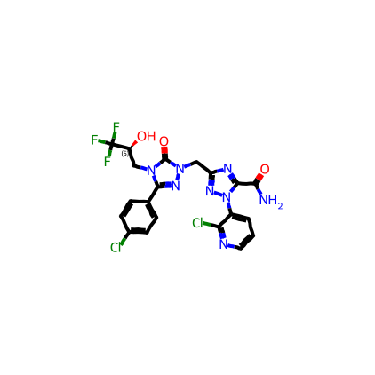 NC(=O)c1nc(Cn2nc(-c3ccc(Cl)cc3)n(C[C@H](O)C(F)(F)F)c2=O)nn1-c1cccnc1Cl